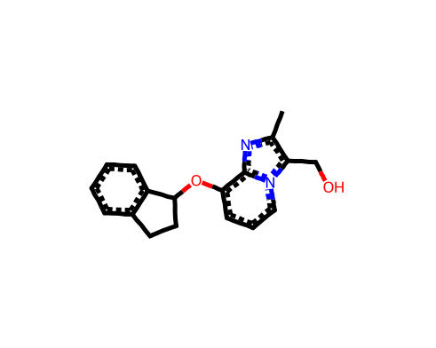 Cc1nc2c(OC3CCc4ccccc43)cccn2c1CO